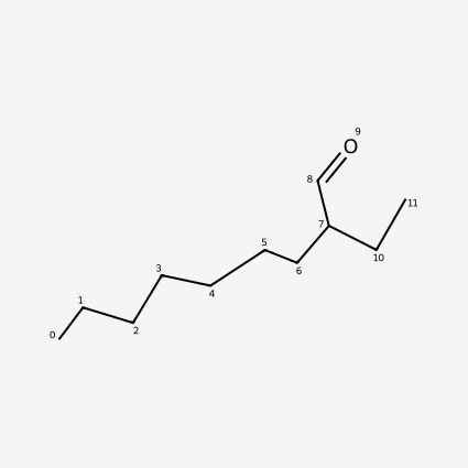 CCCCCCCC(C=O)CC